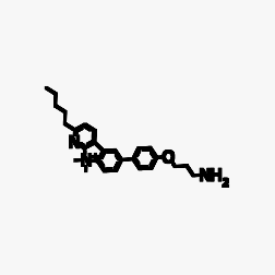 CCCCCc1ccc2c(n1)[N+](C)(C)c1ccc(-c3ccc(OCCCN)cc3)cc1-2